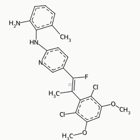 COc1cc(OC)c(Cl)c(/C(C)=C(\F)c2ccc(Nc3c(C)cccc3N)nc2)c1Cl